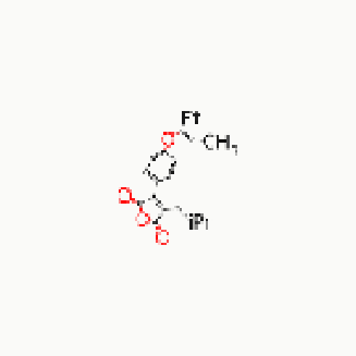 CC=C(CC)Oc1ccc(C2=C(CC(C)C)C(=O)OC2=O)cc1